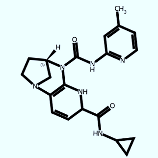 Cc1ccnc(NC(=O)N2C3=C(C=CC(C(=O)NC4CC4)N3)N3CC[C@H]2C3)c1